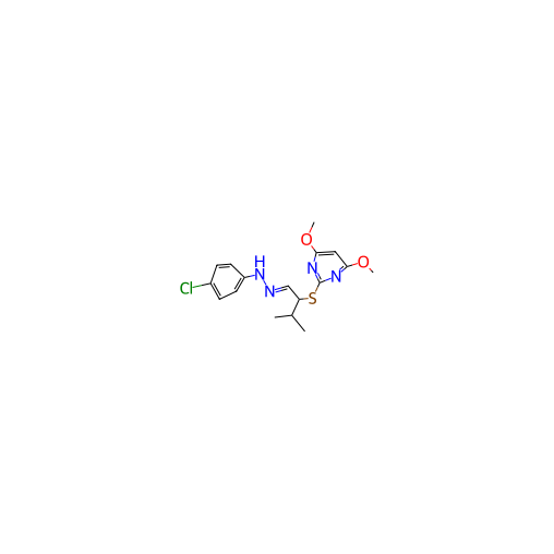 COc1cc(OC)nc(SC(C=NNc2ccc(Cl)cc2)C(C)C)n1